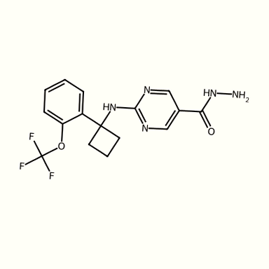 NNC(=O)c1cnc(NC2(c3ccccc3OC(F)(F)F)CCC2)nc1